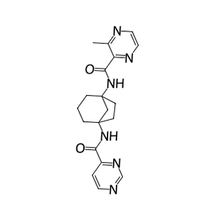 Cc1nccnc1C(=O)NC12CCCC(NC(=O)c3ccncn3)(CC1)C2